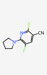 N#Cc1cc(F)c(N2CCCC2)nc1F